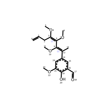 C=CC/C(OC)=C(OC)\C(OC)=C(/C)c1cc(C=O)c(O)c(OC)c1